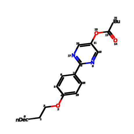 CCCCCCCCCCCCOc1ccc(-c2ncc(OC(=O)C(C)CC)cn2)cc1